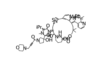 CCn1c(-c2cccnc2[C@H](C)OC)c2c3cc(ccc31)-c1csc(n1)C[C@H](NC(=O)[C@H](C(C)C)N(C)C(=O)C1(O)CCN(C(=O)C#CCN3CCOCC3)C1)C(=O)N1CCC[C@@](O)(N1)C(=O)OCC(C)(C)C2